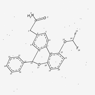 NC(=O)Cc1ccc2c(c1)C(c1ccccc1)Oc1cccc(OC(F)F)c1-2